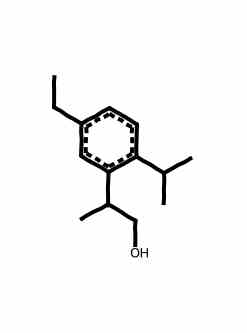 CCc1ccc(C(C)C)c([C](C)CO)c1